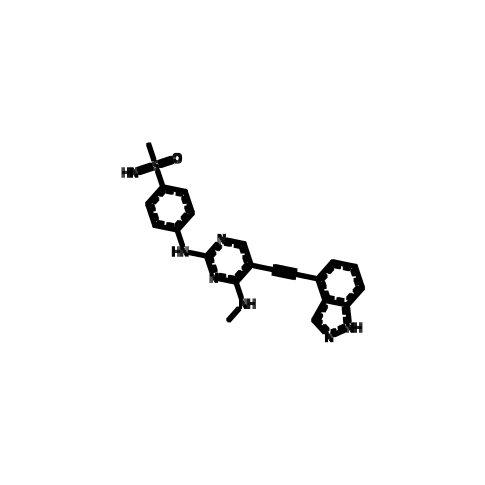 CNc1nc(Nc2ccc(S(C)(=N)=O)cc2)ncc1C#Cc1cccc2[nH]ncc12